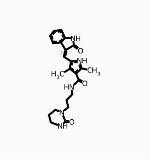 Cc1[nH]c(/C=C2\C(=O)Nc3ccccc32)c(C)c1C(=O)NCCCN1CCCNC1=O